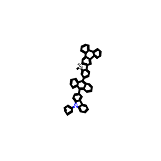 C[Si]1(C)c2cc(-c3c4ccccc4c(-c4ccc5c(c4)c4ccccc4n5-c4ccccc4)c4ccccc34)ccc2-c2cc3c4ccccc4c4ccccc4c3cc21